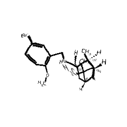 COc1ccc(Br)cc1CN[C@H]1C[C@H]2C[C@@H]([C@@H]1C)C2(C)C